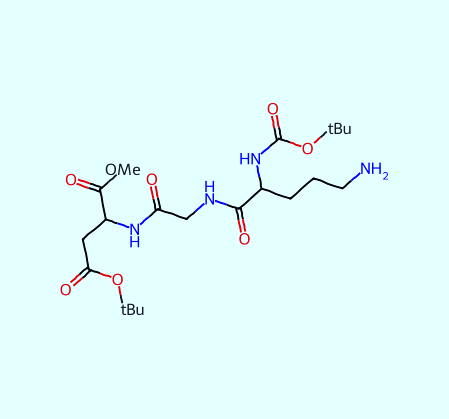 COC(=O)C(CC(=O)OC(C)(C)C)NC(=O)CNC(=O)C(CCCN)NC(=O)OC(C)(C)C